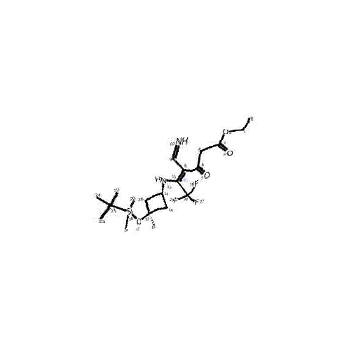 CCOC(=O)CC(=O)/C(C=N)=C(/N[C@H]1C[C@@](C)(O[Si](C)(C)C(C)(C)C)C1)C(F)(F)F